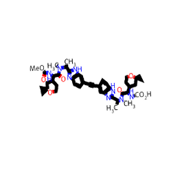 COC(=O)NC(C(=O)N(C)C(C)c1nc2ccc(C#Cc3ccc4[nH]c(C(C)N(C)C(=O)C(NC(=O)O)C5CCOC6(CC6)C5)nc4c3)cc2[nH]1)C1CCOC2(CC2)C1